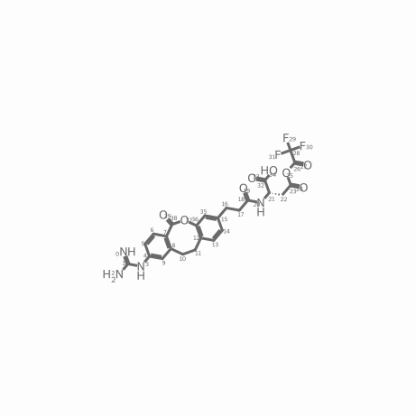 N=C(N)Nc1ccc2c(c1)CCc1ccc(CCC(=O)N[C@@H](CC(=O)OC(=O)C(F)(F)F)C(=O)O)cc1OC2=O